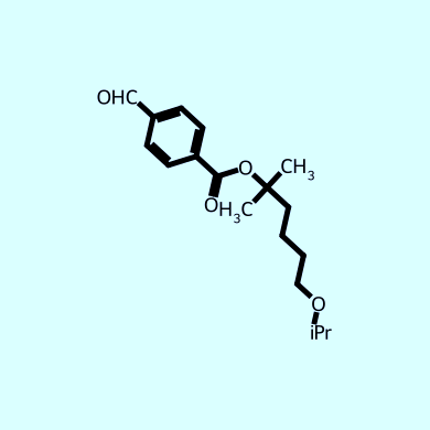 CC(C)OCCCCC(C)(C)OC(=O)c1ccc(C=O)cc1